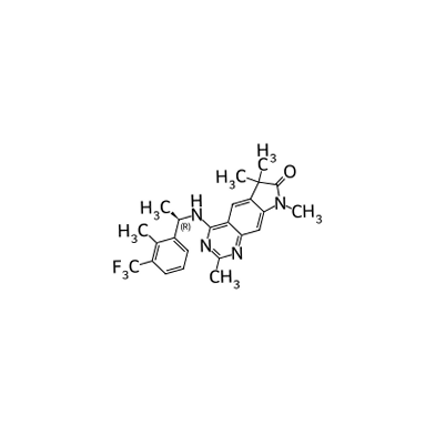 Cc1nc(N[C@H](C)c2cccc(C(F)(F)F)c2C)c2cc3c(cc2n1)N(C)C(=O)C3(C)C